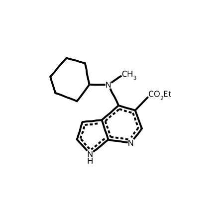 CCOC(=O)c1cnc2[nH]ccc2c1N(C)C1CCCCC1